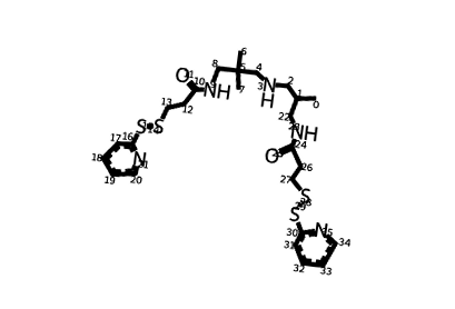 CC(CNCC(C)(C)CNC(=O)CCSSc1ccccn1)CNC(=O)CCSSc1ccccn1